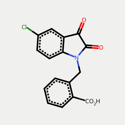 O=C(O)c1ccccc1CN1C(=O)C(=O)c2cc(Cl)ccc21